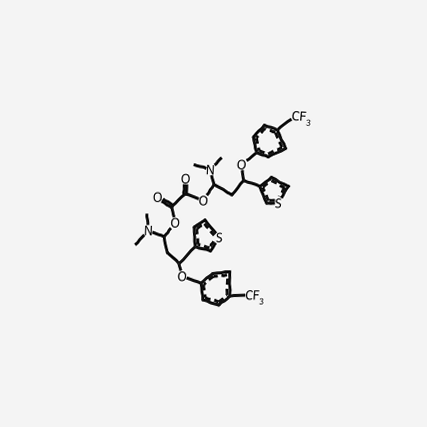 CN(C)C(CC(Oc1ccc(C(F)(F)F)cc1)c1ccsc1)OC(=O)C(=O)OC(CC(Oc1ccc(C(F)(F)F)cc1)c1ccsc1)N(C)C